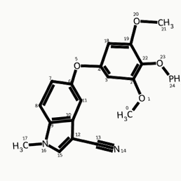 COc1cc(Oc2ccc3c(c2)c(C#N)cn3C)cc(OC)c1OP